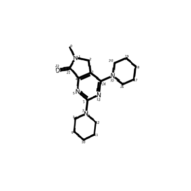 CN1Cc2c(nc(N3CCCCC3)nc2N2CCCCC2)C1=O